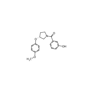 COc1ccc(O[C@@H]2CCN(C(=O)c3cccc(O)c3)C2)cc1